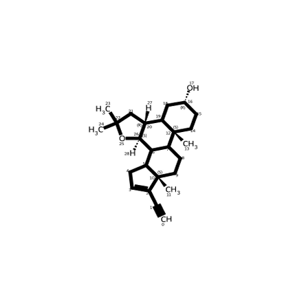 C#CC1=CCC2C3C(CC[C@]12C)[C@@]1(C)CC[C@@H](O)CC1[C@H]1CC(C)(C)O[C@H]31